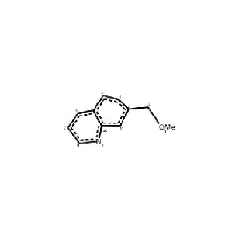 COCc1ccc2cccnc2c1